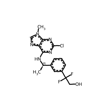 C[C@@H](Nc1nc(Cl)nc2c1n[c]n2C)c1cccc(C(F)(F)CO)c1